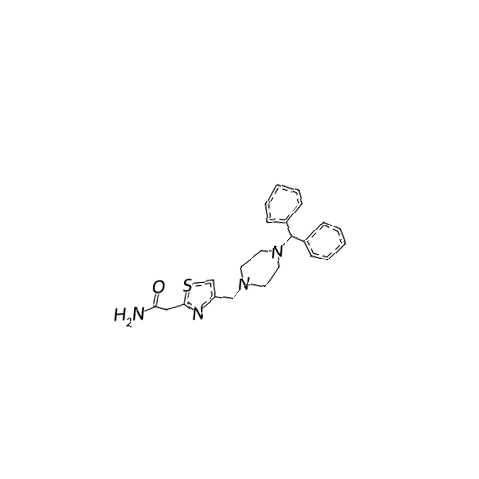 NC(=O)Cc1nc(CN2CCN(C(c3ccccc3)c3ccccc3)CC2)cs1